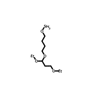 CCOCCC(OCC)OCCCCO[SiH3]